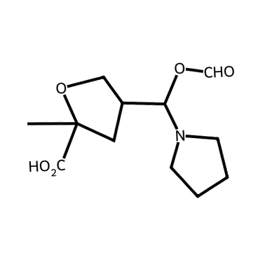 CC1(C(=O)O)CC(C(OC=O)N2CCCC2)CO1